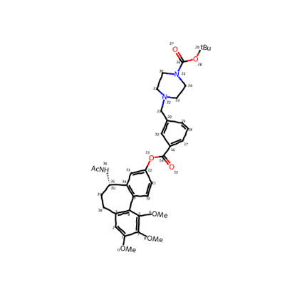 COc1cc2c(c(OC)c1OC)-c1ccc(OC(=O)c3cccc(CN4CCN(C(=O)OC(C)(C)C)CC4)c3)cc1[C@@H](NC(C)=O)CC2